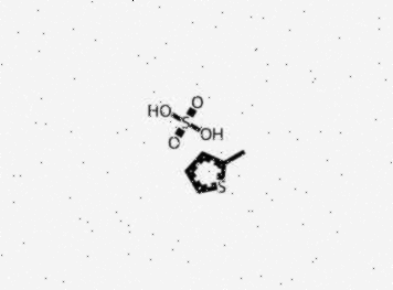 Cc1cccs1.O=S(=O)(O)O